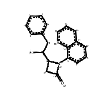 CCC(Cc1ccccc1)C1CC(=O)N1c1cccc2cccnc12